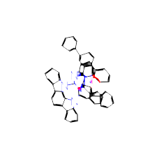 c1ccc(-c2ccc(-c3ccccc3)c(-c3nc(-c4ccccc4)nc(-n4c5ccccc5c5ccc6c7ccccc7n(-c7cc(-c8ccccc8)c8oc9ccccc9c8c7)c6c54)n3)c2)cc1